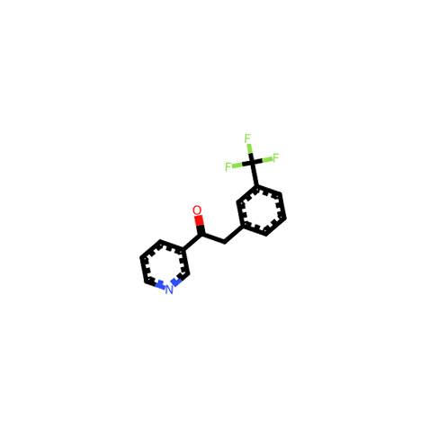 O=C(Cc1cccc(C(F)(F)F)c1)c1cccnc1